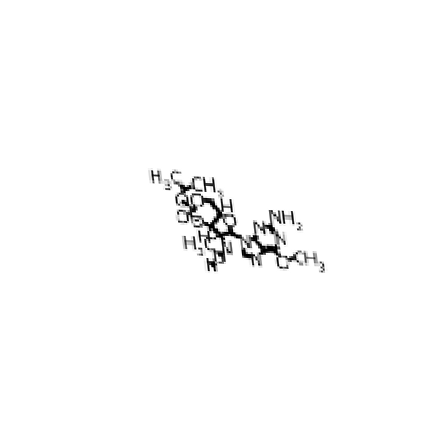 COc1nc(N)nc2c1ncn2C1O[C@@H]2COP(=O)(OC(C)C)O[C@H]2[C@@]1(C)N=[N+]=[N-]